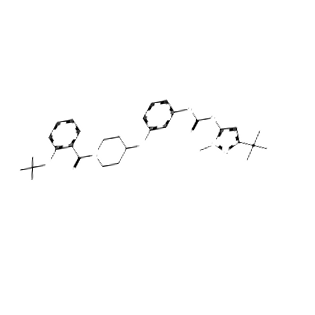 Cn1nc(C(C)(C)C)cc1NC(=O)Nc1cccc(OC2CCN(C(=O)c3ccccc3OC(F)(F)F)CC2)c1